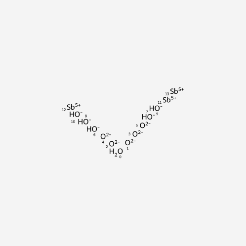 O.[O-2].[O-2].[O-2].[O-2].[O-2].[OH-].[OH-].[OH-].[OH-].[OH-].[Sb+5].[Sb+5].[Sb+5]